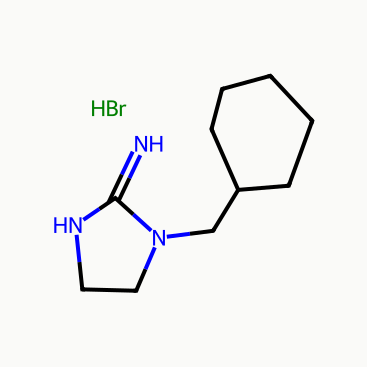 Br.N=C1NCCN1CC1CCCCC1